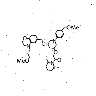 COCCCN1CCOc2ccc(CO[C@@H]3C[C@H](OCC(=O)N4[C@H](C)CCC[C@@H]4C)CN(c4ccc(COC)cc4)C3)cc21